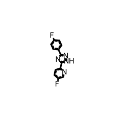 Fc1ccc(-c2n[nH]c(-c3ccc(F)cn3)n2)cc1